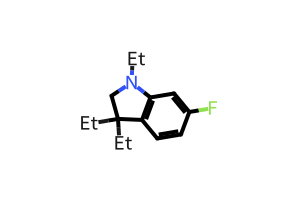 CCN1CC(CC)(CC)c2ccc(F)cc21